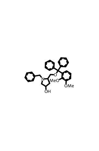 COc1cccc(C(OCC2CC(O)CN2Cc2ccccc2)(c2ccccc2)c2ccccc2)c1OC